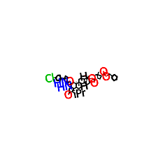 CC(C)C1=C2C3CC[C@@H]4[C@@]5(C)CC[C@H](OC(=O)[C@H]6C[C@@H](C(=O)OCc7ccccc7)C6(C)C)C(C)(C)[C@@H]5CC[C@@]4(C)[C@]3(C)CC[C@@]2(NC(=O)NC2(c3ccc(Cl)cc3)CC2)CC1=O